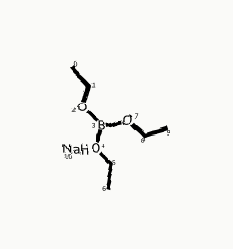 CCOB(OCC)OCC.[NaH]